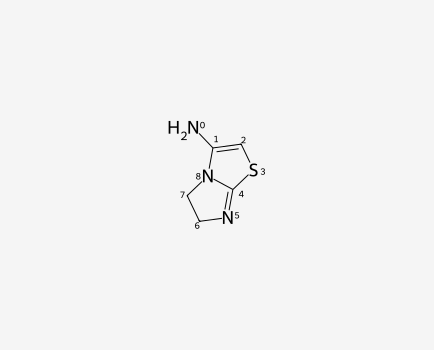 NC1=CSC2=NCCN12